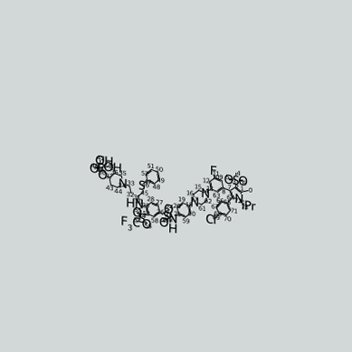 Cc1c(S(C)(=O)=O)c(-c2cc(F)cc(N3CCN(c4ccc(NS(=O)(=O)c5ccc(N[C@H](CCN6CCC(OP(=O)(O)O)CC6)CSc6ccccc6)c(S(=O)(=O)C(F)(F)F)c5)cc4)CC3)c2)c(-c2ccc(Cl)cc2)n1C(C)C